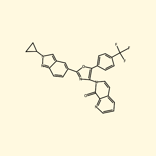 O=c1c2ncccc2ccn1-c1nc(-c2ccc3nn(C4CC4)cc3c2)oc1-c1ccc(C(F)(F)F)cc1